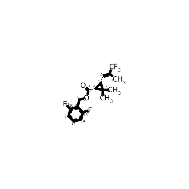 C/C(=C\[C@H]1[C@@H](C(=O)OCc2c(F)cccc2F)C1(C)C)C(F)(F)F